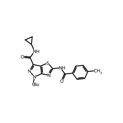 Cc1ccc(C(=O)Nc2nc3c(s2)c(C(=O)NC2CC2)nn3C(C)(C)C)cc1